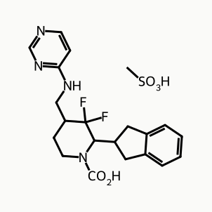 CS(=O)(=O)O.O=C(O)N1CCC(CNc2ccncn2)C(F)(F)C1C1Cc2ccccc2C1